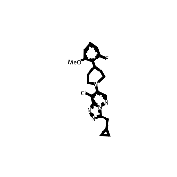 COc1cccc(F)c1C1CCN(c2cnn3c(CC4CC4)nnc3c2Cl)CC1